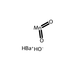 [BaH+].[OH-].[O]=[Mn]=[O]